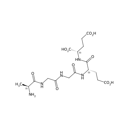 C[C@H](N)C(=O)NCC(=O)NCC(=O)N[C@@H](CCC(=O)O)C(=O)N[C@@H](CCC(=O)O)C(=O)O